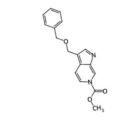 COC(=O)n1ccc2c(COCc3ccccc3)cnc-2c1